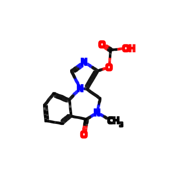 CN1Cc2c(OC(=O)O)ncn2-c2ccccc2C1=O